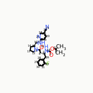 C=C(C)OC(=O)N[C@@H](CC(=O)N1CCC[C@H]1CNc1ccc(C#N)cn1)Cc1ccccc1F